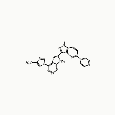 Cc1cn(-c2cncc3[nH]c(-c4n[nH]c5ccc(-c6ccncc6)nc45)cc23)cn1